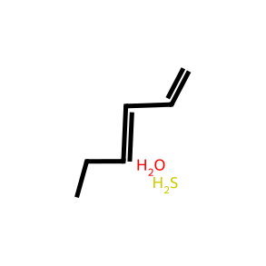 C=CC=CCC.O.S